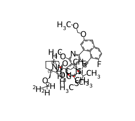 [2H]C([2H])([2H])OC[C@]12CC[C@H](CN(c3nc(SC)nc4c(F)c(-c5cc(OCOC)cc6ccc(F)c(C#C[Si](C(C)C)(C(C)C)C(C)C)c56)nc(OC)c34)C1)N2C(=O)O